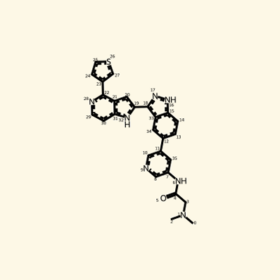 CN(C)CC(=O)Nc1cncc(-c2ccc3[nH]nc(-c4cc5c(-c6ccsc6)nccc5[nH]4)c3c2)c1